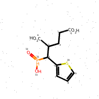 O=C(O)CCC(C(=O)O)C(c1cccs1)[PH](=O)O